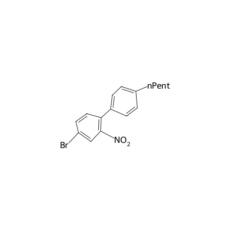 CCCCCc1ccc(-c2ccc(Br)cc2[N+](=O)[O-])cc1